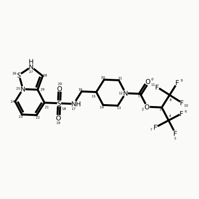 O=C(OC(C(F)(F)F)C(F)(F)F)N1CCC(CNS(=O)(=O)C2=CC=CN3SNC=C23)CC1